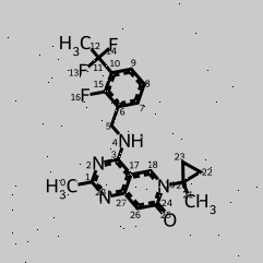 Cc1nc(NCc2cccc(C(C)(F)F)c2F)c2cn(C3(C)CC3)c(=O)cc2n1